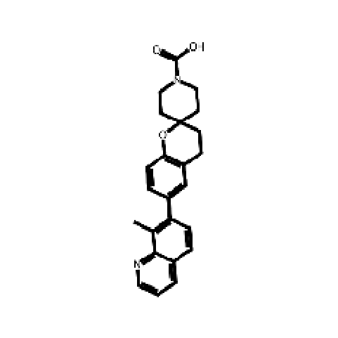 Cc1c(-c2ccc3c(c2)CCC2(CCN(C(=O)O)CC2)O3)ccc2cccnc12